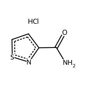 Cl.NC(=O)c1ccsn1